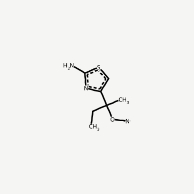 CCC(C)(O[N])c1csc(N)n1